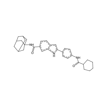 O=C(NC12CC3CC(CC(C3)C1)C2)c1ccc2cc(-c3ccc(NC(=O)C4CCCCC4)cc3)[nH]c2c1